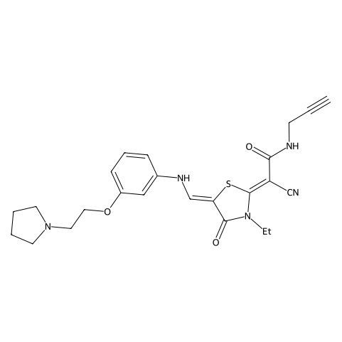 C#CCNC(=O)C(C#N)=c1sc(=CNc2cccc(OCCN3CCCC3)c2)c(=O)n1CC